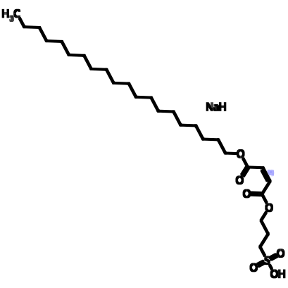 CCCCCCCCCCCCCCCCCCCCOC(=O)/C=C\C(=O)OCCCS(=O)(=O)O.[NaH]